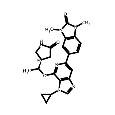 CC(Oc1nc(-c2ccc3c(c2)n(C)c(=O)n3C)cc2ncn(C3CC3)c12)[C@H]1CNC(=O)C1